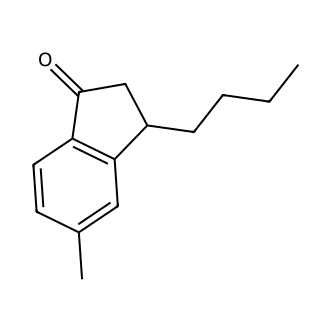 CCCCC1CC(=O)c2ccc(C)cc21